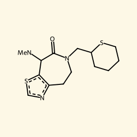 CNC1C(=O)N(CC2CCCCS2)CCc2ncsc21